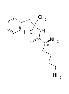 CC(C)(Cc1ccccc1)NC(=O)[C@@H](N)CCCCN